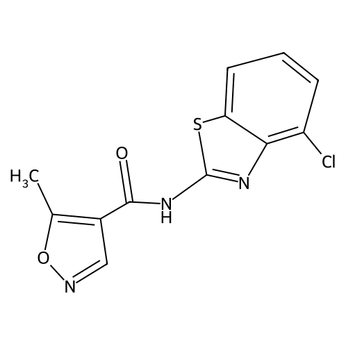 Cc1oncc1C(=O)Nc1nc2c(Cl)cccc2s1